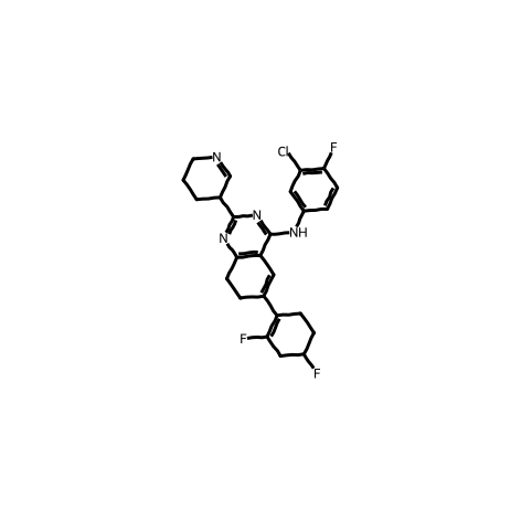 FC1=C(C2=Cc3c(nc(C4C=NCCC4)nc3Nc3ccc(F)c(Cl)c3)CC2)CCC(F)C1